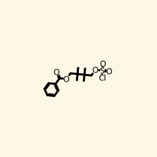 CC(C)(COC(=O)c1ccccc1)C(C)(C)COS(=O)(=O)Cl